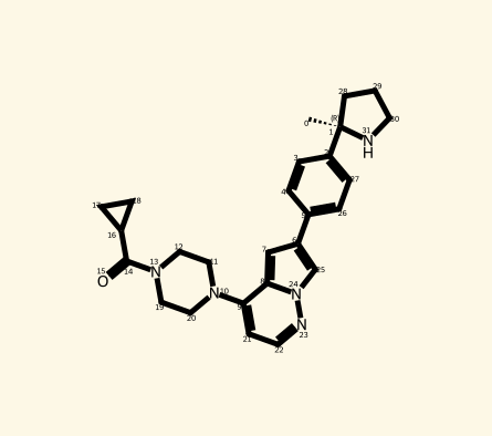 C[C@]1(c2ccc(-c3cc4c(N5CCN(C(=O)C6CC6)CC5)ccnn4c3)cc2)CCCN1